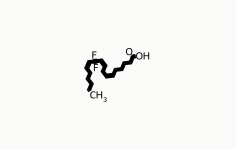 CCCCC/C=C\C(F)(F)/C=C\C/C=C\CCCCC(=O)O